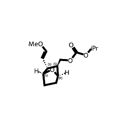 COC=C[C@@H]1[C@@H](COC(=O)OC(C)C)[C@H]2CC[C@@H]1O2